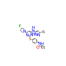 CCC(=O)Nc1ccc(Sc2nc(Nc3cc(C4CC4)n[nH]3)cc(N3CCC(F)C3)n2)cc1